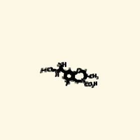 C[C@H]1COc2cc(C(=N)NO)cc(F)c2CN1C(=O)O